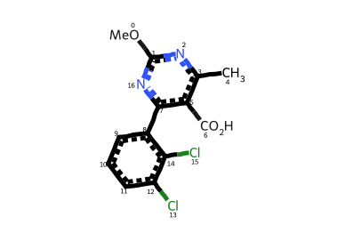 COc1nc(C)c(C(=O)O)c(-c2cccc(Cl)c2Cl)n1